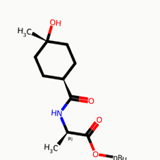 CCCCOC(=O)[C@@H](C)NC(=O)[C@H]1CC[C@](C)(O)CC1